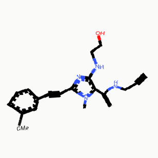 C#CCNC(=C)c1c(NCCO)nc(C#Cc2cccc(OC)c2)n1C